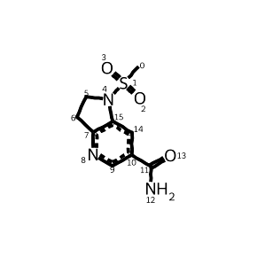 CS(=O)(=O)N1CCc2ncc(C(N)=O)cc21